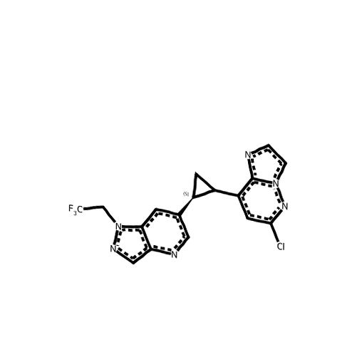 FC(F)(F)Cn1ncc2ncc([C@H]3CC3c3cc(Cl)nn4ccnc34)cc21